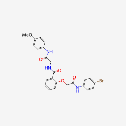 COc1ccc(NC(=O)CNC(=O)c2ccccc2OCC(=O)Nc2ccc(Br)cc2)cc1